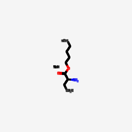 CCCCCCCCCCCCOC(=O)C(N)CC(=O)O.[NaH]